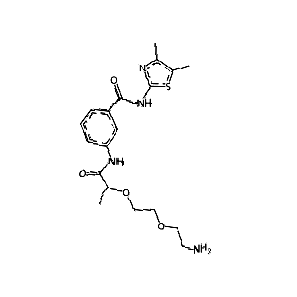 Cc1nc(NC(=O)c2cccc(NC(=O)C(C)OCCOCCN)c2)sc1C